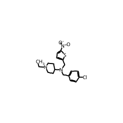 CCN1CCC(N(Cc2ccc(Cl)cc2)Cc2ccc([N+](=O)[O-])s2)CC1